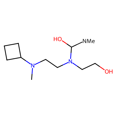 CNC(O)N(CCO)CCN(C)C1CCC1